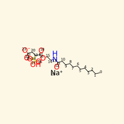 CCCCCCCCCCCC(=O)NCCOC(=O)C(CC(=O)[O-])S(=O)(=O)O.[Na+]